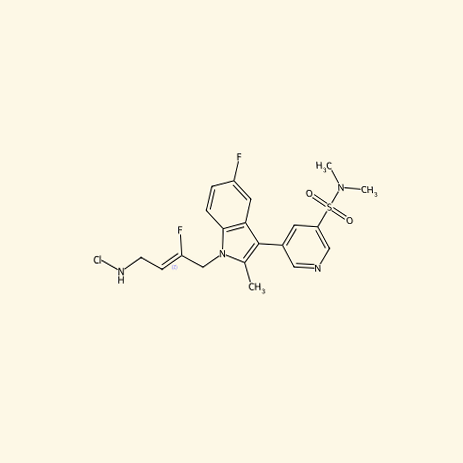 Cc1c(-c2cncc(S(=O)(=O)N(C)C)c2)c2cc(F)ccc2n1C/C(F)=C/CNCl